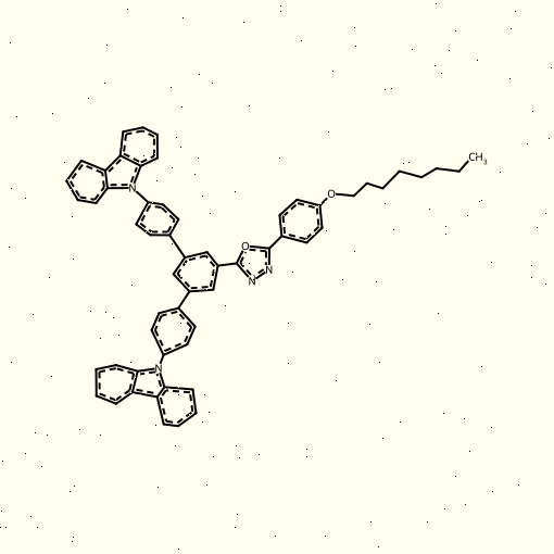 CCCCCCCCOc1ccc(-c2nnc(-c3cc(-c4ccc(-n5c6ccccc6c6ccccc65)cc4)cc(-c4ccc(-n5c6ccccc6c6ccccc65)cc4)c3)o2)cc1